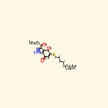 COCCCCCSC1=CC(=O)c2[nH]nc(C(=O)OC)c2C1=O